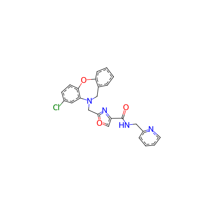 O=C(NCc1ccccn1)c1coc(CN2Cc3ccccc3Oc3ccc(Cl)cc32)n1